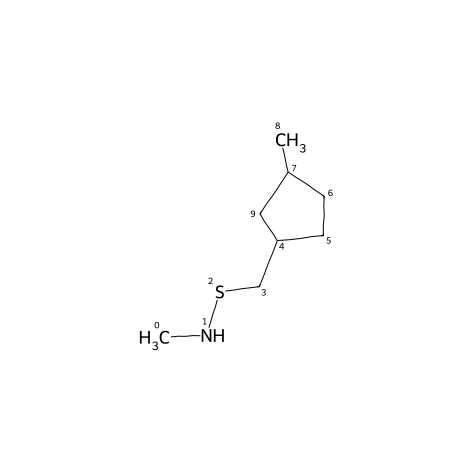 CNSCC1CCC(C)C1